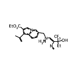 C=N/C(=C\N(N)Cc1ccc2c(C(=C)C)c(C(=O)OCC)cn2c1)C(O)(CC)C(F)(F)F